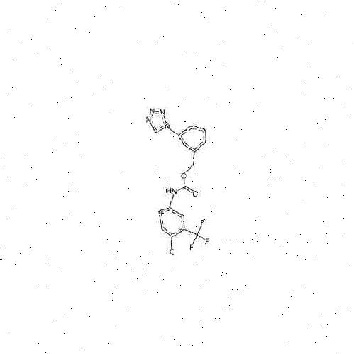 O=C(Nc1ccc(Cl)c(C(F)(F)F)c1)OCc1cccc(-n2cnnn2)c1